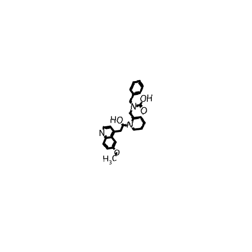 COc1ccc2nccc(CC(O)N3CCCCC3CN(Cc3ccccc3)C(=O)O)c2c1